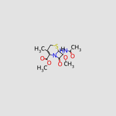 COC(=O)C1=C(C)CS[C@@H]2N1C(=O)[C@]2(NC(C)=O)OC